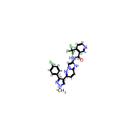 Cn1cc(-c2ccc3nc(NC(=O)c4cnccc4C(F)(F)F)cn3n2)c(-c2ccc(F)cc2)n1